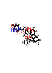 CC(C)(C)[Si](OCC(CO)(CO)O[C@H](CO)n1ccc(=O)[nH]c1=O)(c1ccccc1)c1ccccc1